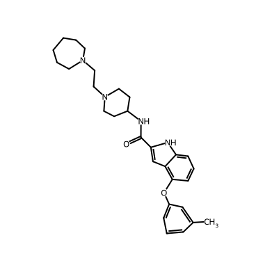 Cc1cccc(Oc2cccc3[nH]c(C(=O)NC4CCN(CCN5CCCCCC5)CC4)cc23)c1